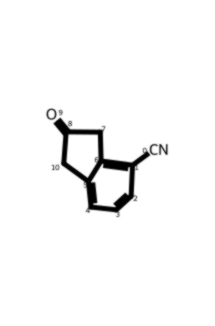 N#Cc1cccc2c1CC(=O)C2